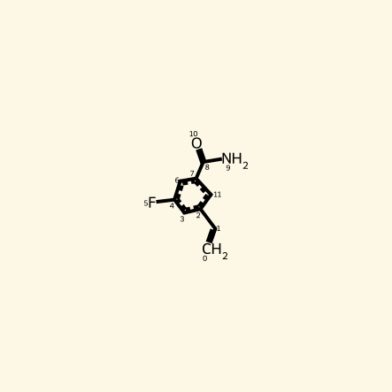 C=Cc1cc(F)cc(C(N)=O)c1